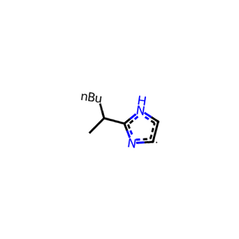 CCCCC(C)c1n[c]c[nH]1